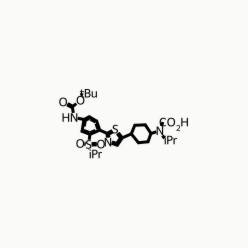 CC(C)N(C(=O)O)C1CCC(c2cnc(-c3ccc(NC(=O)OC(C)(C)C)cc3S(=O)(=O)C(C)C)s2)CC1